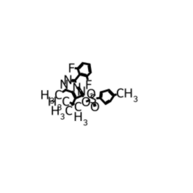 Cc1ccc(S(=O)(=O)Oc2nn3c(-c4c(F)cccc4F)nnc(C)c3c2C(C)(C)C)cc1